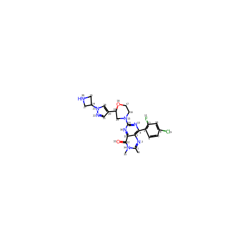 Cc1nc2c(-c3ccc(Cl)cc3F)nc(N3CCOC(c4cnn(C5CNC5)c4)C3)nc2c(=O)n1C